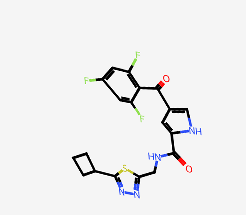 O=C(NCc1nnc(C2CCC2)s1)c1cc(C(=O)c2c(F)cc(F)cc2F)c[nH]1